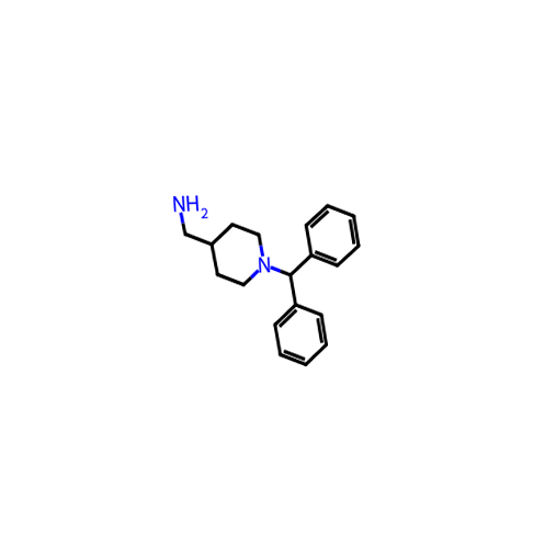 NCC1CCN(C(c2ccccc2)c2ccccc2)CC1